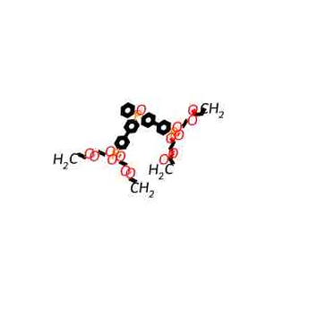 C=CCOOCCOP(=O)(OCCOOCC=C)c1ccc(-c2ccc(P(=O)(c3ccccc3)c3ccc(-c4ccc(P(=O)(OCCOC(=O)C=C)OCCOC(=O)C=C)cc4)cc3)cc2)cc1